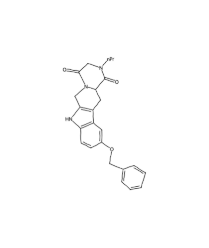 CCCN1CC(=O)N2Cc3[nH]c4ccc(OCc5ccccc5)cc4c3CC2C1=O